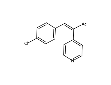 CC(=O)/C(=C/c1ccc(Cl)cc1)c1ccncc1